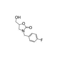 O=C1OC(CO)CN1Cc1ccc(F)cc1